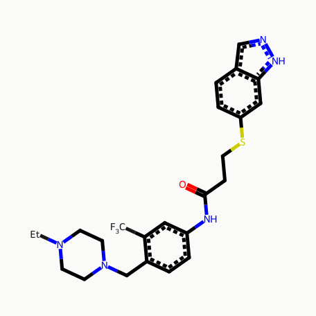 CCN1CCN(Cc2ccc(NC(=O)CCSc3ccc4cn[nH]c4c3)cc2C(F)(F)F)CC1